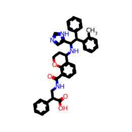 Cc1ccccc1C(c1ccccc1)C(NC1CCOc2c(C(=O)NCC(C(=O)O)c3ccccc3)cccc21)c1cnc[nH]1